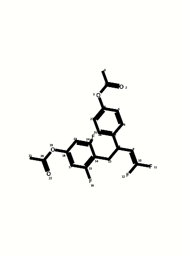 CC(=O)Oc1ccc(C(C=C(F)F)Cc2c(F)cc(OC(C)=O)cc2F)cc1